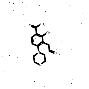 C=CCc1c(N2CCOCC2)ccc(C(C)=O)c1O